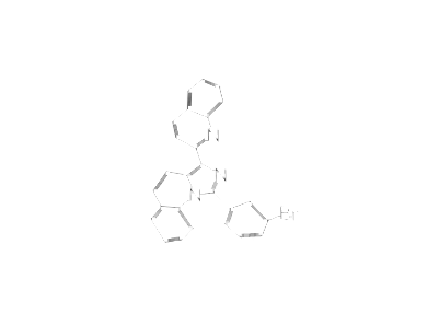 Brc1cccc(-c2nc(-c3ccc4ccccc4n3)c3ccc4ccccc4n23)c1